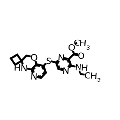 CCNc1ncc(Sc2ccnc3c2OCC2(CCC2)N3)nc1C(=O)OC